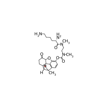 CN(CCN(C)C(=O)[C@@H](N)CCCCN)C(=O)Oc1ccc2c3c1OC1C(=O)CCC4[C@@H](C2)N(C)C[C@]314